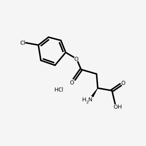 Cl.N[C@@H](CC(=O)Oc1ccc(Cl)cc1)C(=O)O